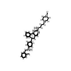 Cc1ccccc1CNc1ccc(C2Cc3cnc(NCCCN4CCN(C)CC4)nc3-c3ccccc32)cc1